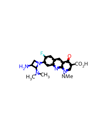 CNn1cc(C(=O)O)c(=O)c2cc3cc(F)c(N4CC(N)C4N(C)C)cc3nc21